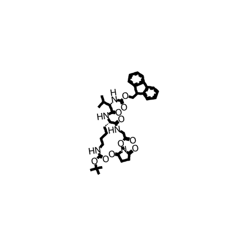 CC(C)[C@H](NC(=O)OCC1c2ccccc2-c2ccccc21)C(=O)N[C@@H](CCCCNC(=O)OC(C)(C)C)C(=O)NCC(=O)ON1C(=O)CCC1=O